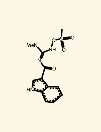 CNC(=NC(=O)c1c[nH]c2ccccc12)NOS(C)(=O)=O